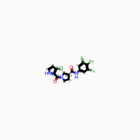 O=C(Nc1cc(F)c(F)c(F)c1)[C@H]1CCN(C(=O)c2[nH]ccc2Cl)C1